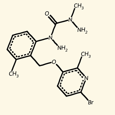 Cc1cccc(N(N)C(=O)N(C)N)c1COc1ccc(Br)nc1C